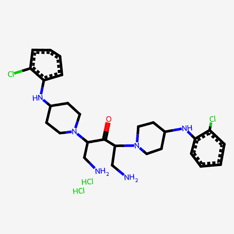 Cl.Cl.NCC(C(=O)C(CN)N1CCC(Nc2ccccc2Cl)CC1)N1CCC(Nc2ccccc2Cl)CC1